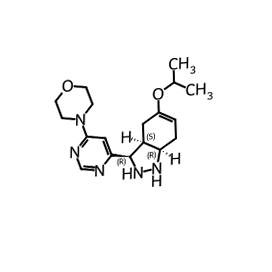 CC(C)OC1=CC[C@H]2NN[C@@H](c3cc(N4CCOCC4)ncn3)[C@H]2C1